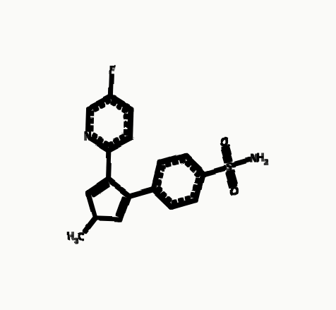 CC1C=C(c2ccc(S(N)(=O)=O)cc2)C(c2ccc(F)cn2)=C1